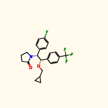 O=C1CCCN1[C@H](c1ccc(F)cc1)[C@@H](OCC1CC1)c1ccc(C(F)(F)F)cc1